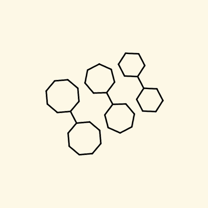 C1CCC(C2CCCCC2)CC1.C1CCCC(C2CCCCCC2)CC1.C1CCCC(C2CCCCCCC2)CCC1